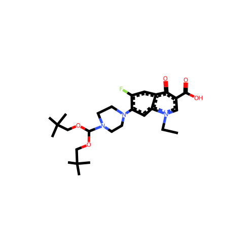 CCn1cc(C(=O)O)c(=O)c2cc(F)c(N3CCN(C(OCC(C)(C)C)OCC(C)(C)C)CC3)cc21